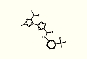 Cn1cc(-c2csc(C(=O)Nc3cccc(C(F)(F)F)c3)n2)c(C(F)F)n1